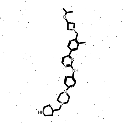 Cc1cc(-c2ccnc(Nc3ccc(N4CCN(CC5CCNCC5)CC4)cc3)n2)ccc1CN1CC(OC(C)C)C1